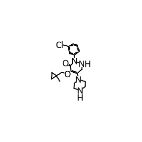 CC1(COC2=C(N3CCNCC3)CNN(c3cccc(Cl)c3)C2=O)CC1